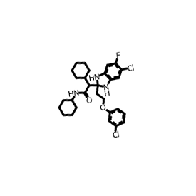 O=C(NC1CCCCC1)C(C1CCCCC1)C1(CCOc2cccc(Cl)c2)Nc2cc(F)c(Cl)cc2N1